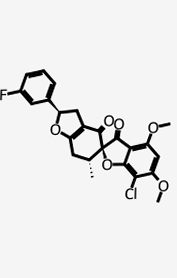 COc1cc(OC)c2c(c1Cl)O[C@@]1(C(=O)C3=C(C[C@H]1C)O[C@@H](c1cccc(F)c1)C3)C2=O